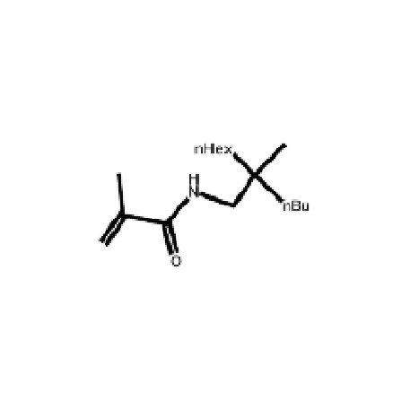 C=C(C)C(=O)NCC(C)(CCCC)CCCCCC